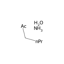 CCCCC(C)=O.N.O